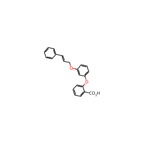 O=C(O)c1ccccc1Oc1cccc(OCC=Cc2ccccc2)c1